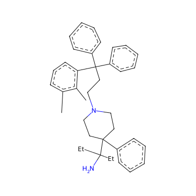 CCC(N)(CC)C1(c2ccccc2)CCN(CCC(c2ccccc2)(c2ccccc2)c2cccc(C)c2C)CC1